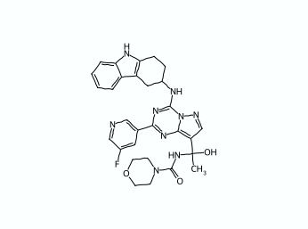 CC(O)(NC(=O)N1CCOCC1)c1cnn2c(NC3CCc4[nH]c5ccccc5c4C3)nc(-c3cncc(F)c3)nc12